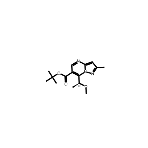 CO[C@@H](C)c1c(C(=O)OC(C)(C)C)cnc2cc(C)nn12